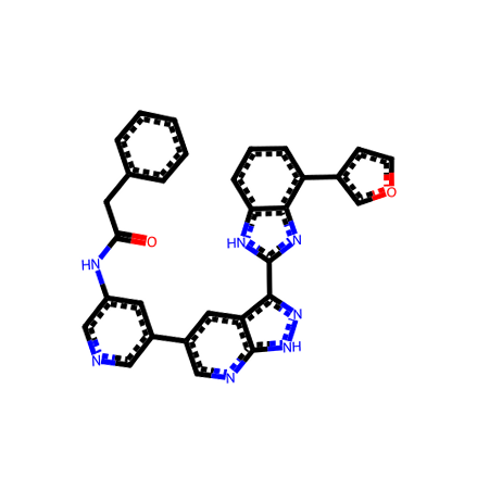 O=C(Cc1ccccc1)Nc1cncc(-c2cnc3[nH]nc(-c4nc5c(-c6ccoc6)cccc5[nH]4)c3c2)c1